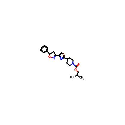 CC(C)COC(=O)N1CCC(c2nc(C3=NOC(c4ccccc4)C3)cs2)CC1